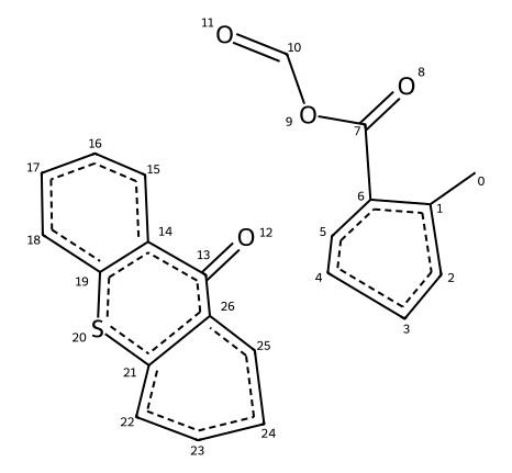 Cc1ccccc1C(=O)OC=O.O=c1c2ccccc2sc2ccccc12